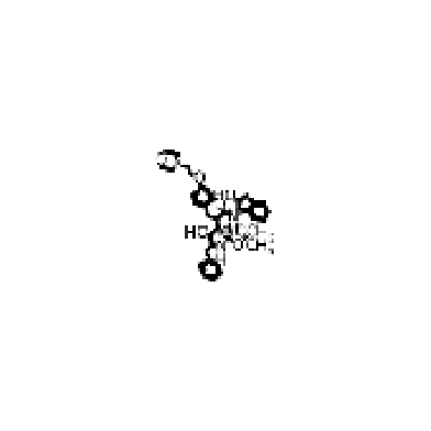 CC(C)(C)OC(=O)NC(Cc1ccccc1)C(O)CC(Cc1ccc(OCCN2CCOCC2)cc1)C(=O)N[C@H]1c2ccccc2C[C@@H]1O